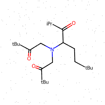 CC(C)C(=O)C(CCC(C)(C)C)N(CC(=O)C(C)(C)C)CC(=O)C(C)(C)C